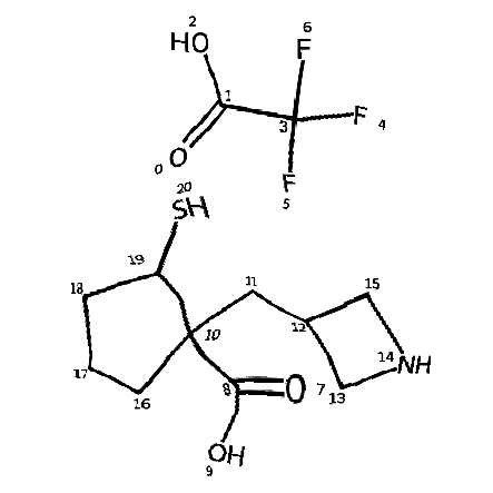 O=C(O)C(F)(F)F.O=C(O)C1(CC2CNC2)CCCC1S